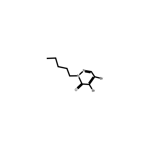 CCCCCn1ncc(Br)c(Br)c1=O